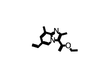 C=Cc1cc(C)c2nc(C)c(C(=C)OCC)n2c1